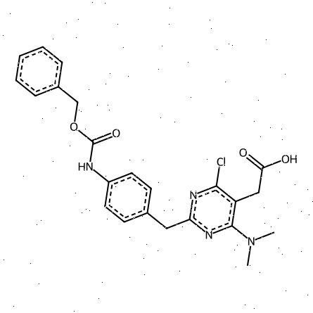 CN(C)c1nc(Cc2ccc(NC(=O)OCc3ccccc3)cc2)nc(Cl)c1CC(=O)O